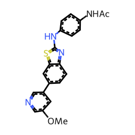 COc1cncc(-c2ccc3nc(Nc4ccc(NC(C)=O)cc4)sc3c2)c1